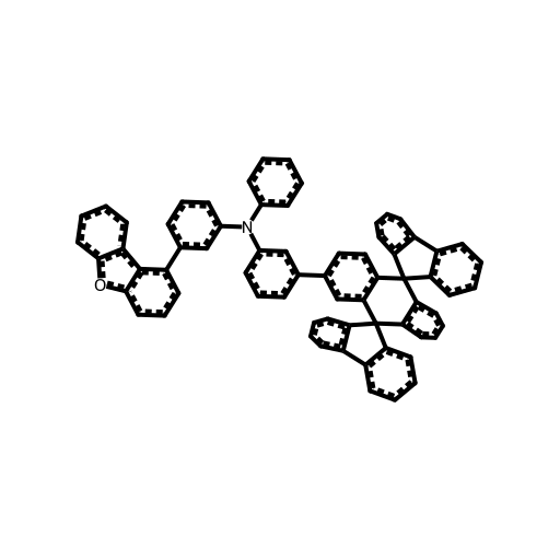 c1ccc(N(c2cccc(-c3ccc4c(c3)C3(c5ccccc5-c5ccccc53)c3ccccc3C43c4ccccc4-c4ccccc43)c2)c2cccc(-c3cccc4oc5ccccc5c34)c2)cc1